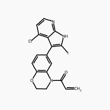 C=CC(=O)N1CCOc2ccc(-c3c(I)[nH]c4nccc(Cl)c34)cc21